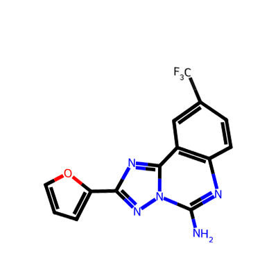 Nc1nc2ccc(C(F)(F)F)cc2c2nc(-c3ccco3)nn12